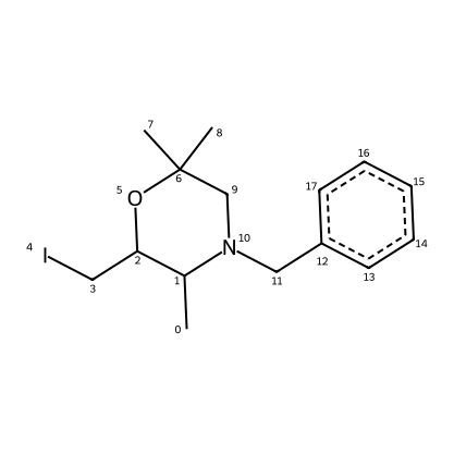 CC1C(CI)OC(C)(C)CN1Cc1ccccc1